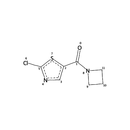 O=C(c1cnc(Cl)s1)N1CCC1